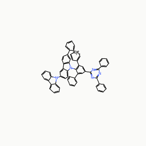 C/C=C\C(=C/C)c1cc(-c2nc(-c3ccccc3)nc(-c3ccccc3)n2)cc(-c2ccccc2)c1-n1c2ccc(-n3c4ccccc4c4ccccc43)cc2c2ccc(-c3ccccc3)cc21